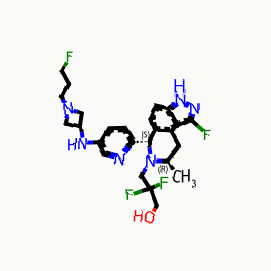 C[C@@H]1Cc2c(ccc3[nH]nc(F)c23)[C@@H](c2ccc(NC3CN(CCCF)C3)cn2)N1CC(F)(F)CO